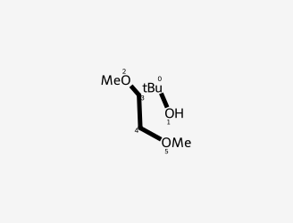 CC(C)(C)O.COCCOC